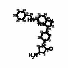 NC1CC(=O)N(c2ccc(-c3cnc4ccc(NCc5ccccc5)nn34)cc2)C1